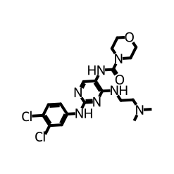 CN(C)CCNc1nc(Nc2ccc(Cl)c(Cl)c2)ncc1NC(=O)N1CCOCC1